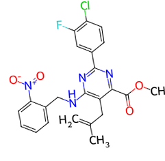 C=C(C)Cc1c(NCc2ccccc2[N+](=O)[O-])nc(-c2ccc(Cl)c(F)c2)nc1C(=O)OC